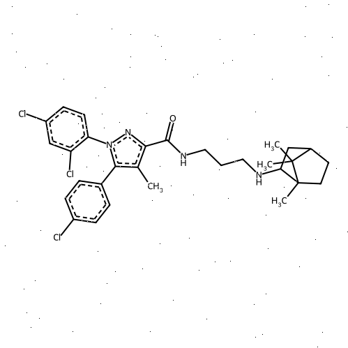 Cc1c(C(=O)NCCCNC2CC3CCC2(C)C3(C)C)nn(-c2ccc(Cl)cc2Cl)c1-c1ccc(Cl)cc1